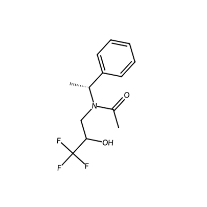 CC(=O)N(CC(O)C(F)(F)F)[C@H](C)c1ccccc1